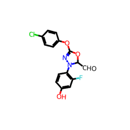 O=CC1OC(Oc2ccc(Cl)cc2)=NN1c1ccc(O)cc1F